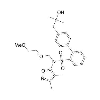 COCCOCN(c1onc(C)c1C)S(=O)(=O)c1ccccc1-c1ccc(CC(C)(C)O)cc1